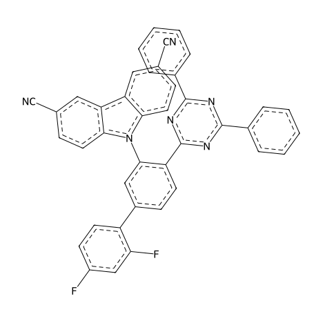 N#Cc1ccc2c(c1)c1cc(C#N)ccc1n2-c1cc(-c2ccc(F)cc2F)ccc1-c1nc(-c2ccccc2)nc(-c2ccccc2)n1